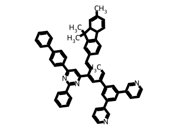 C\C=C(/C=C(\C=C\c1ccc2c(c1)C(C)(C)C1C=C(C)C=CC21)c1cc(-c2ccc(-c3ccccc3)cc2)nc(-c2ccccc2)n1)c1cc(-c2cccnc2)cc(-c2cccnc2)c1